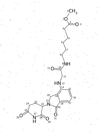 COC(=O)CCCCCNC(=O)CNc1cccc2c1CN(C1CCC(=O)NC1=O)C2=O